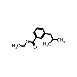 CCOC(=O)c1cccc(CC(C)C)c1